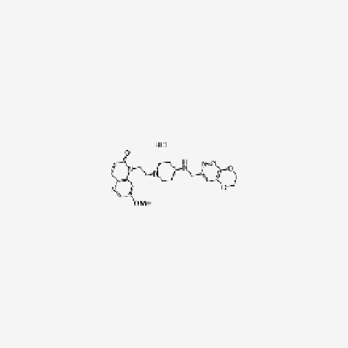 COc1cnc2ccc(=O)n(CCN3CCC(NCc4cc5c(nn4)OCCO5)CC3)c2c1.Cl